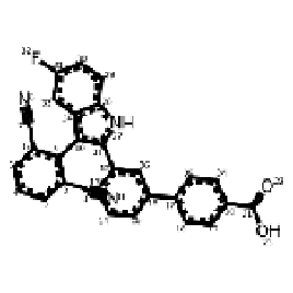 N#Cc1cccc(C#N)c1-c1c(-c2cccc(-c3ccc(C(=O)O)cc3)c2)[nH]c2ccc(F)cc12